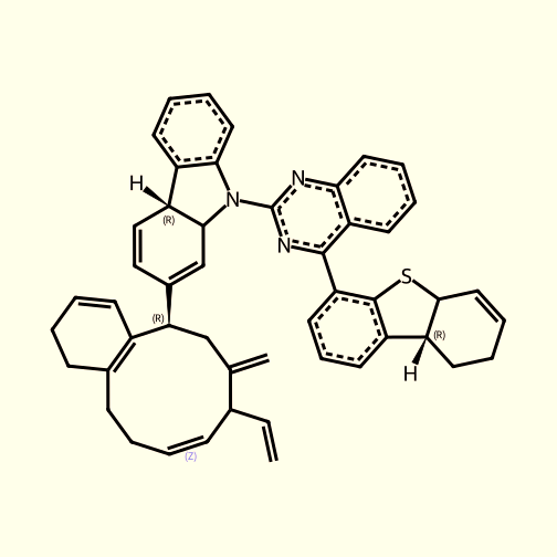 C=CC1/C=C\CCC2=C(C=CCC2)[C@@H](C2=CC3[C@H](C=C2)c2ccccc2N3c2nc(-c3cccc4c3SC3C=CCC[C@H]43)c3ccccc3n2)CC1=C